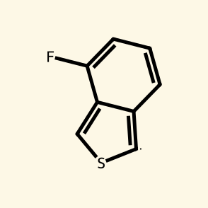 Fc1cccc2[c]scc12